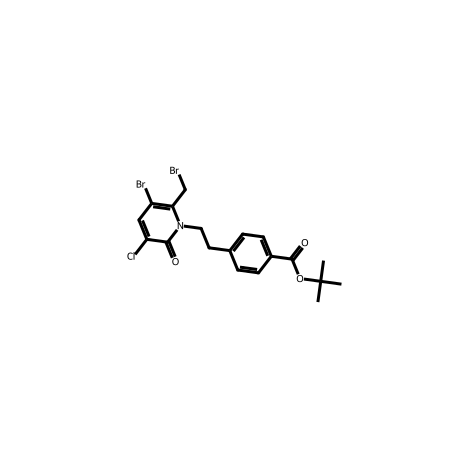 CC(C)(C)OC(=O)c1ccc(CCn2c(CBr)c(Br)cc(Cl)c2=O)cc1